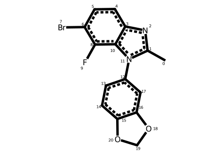 Cc1nc2ccc(Br)c(F)c2n1-c1ccc2c(c1)OCO2